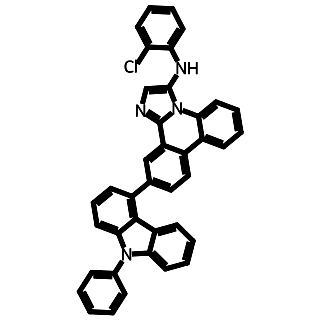 Clc1ccccc1Nc1cnc2c3cc(-c4cccc5c4c4ccccc4n5-c4ccccc4)ccc3c3ccccc3n12